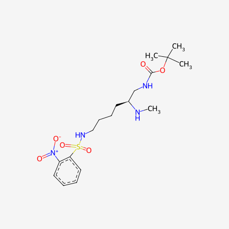 CN[C@@H](CCCCNS(=O)(=O)c1ccccc1[N+](=O)[O-])CNC(=O)OC(C)(C)C